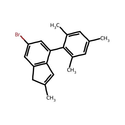 CC1=Cc2c(cc(Br)cc2-c2c(C)cc(C)cc2C)C1